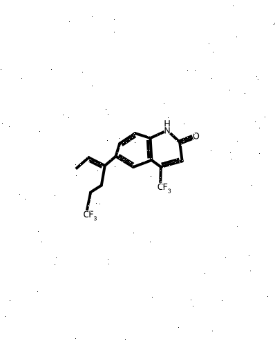 CC=C(CCC(F)(F)F)c1ccc2[nH]c(=O)cc(C(F)(F)F)c2c1